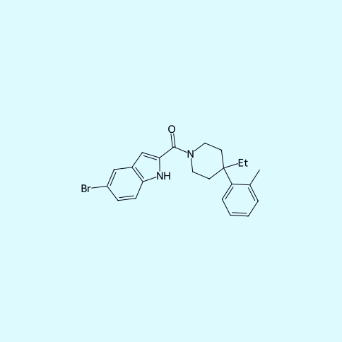 CCC1(c2ccccc2C)CCN(C(=O)c2cc3cc(Br)ccc3[nH]2)CC1